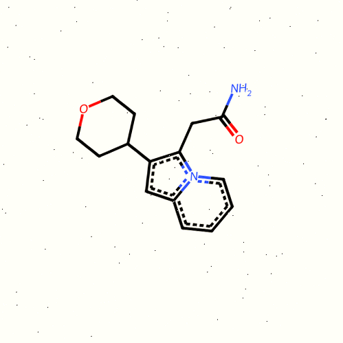 NC(=O)Cc1c(C2CCOCC2)cc2ccccn12